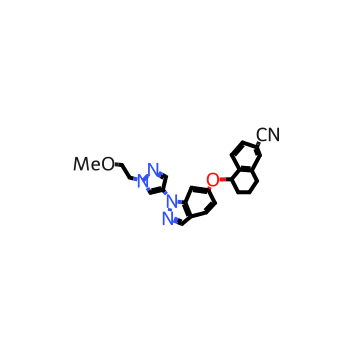 COCCn1cc(-n2ncc3ccc(OC4CCCc5cc(C#N)ccc54)cc32)cn1